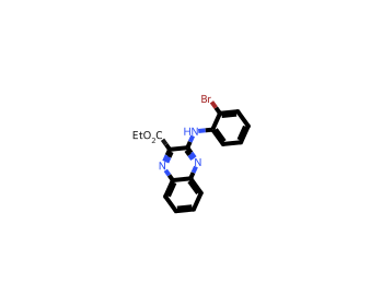 CCOC(=O)c1nc2ccccc2nc1Nc1ccccc1Br